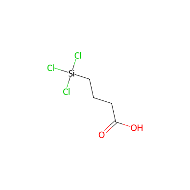 O=C(O)CCC[Si](Cl)(Cl)Cl